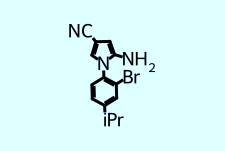 CC(C)c1ccc(-n2cc(C#N)cc2N)c(Br)c1